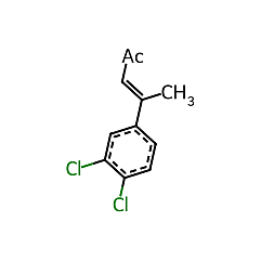 CC(=O)C=C(C)c1ccc(Cl)c(Cl)c1